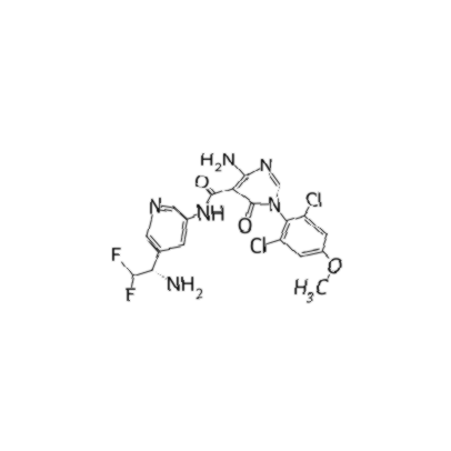 COc1cc(Cl)c(-n2cnc(N)c(C(=O)Nc3cncc([C@H](N)C(F)F)c3)c2=O)c(Cl)c1